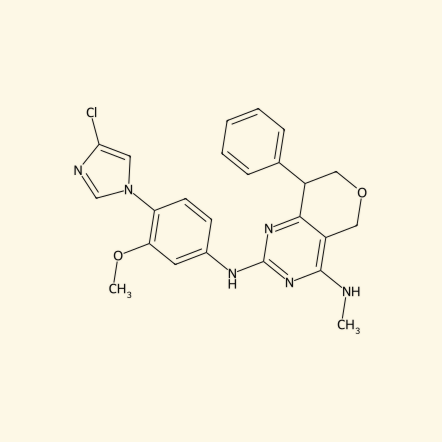 CNc1nc(Nc2ccc(-n3cnc(Cl)c3)c(OC)c2)nc2c1COCC2c1ccccc1